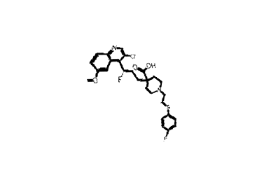 COc1ccc2ncc(Cl)c([C@@H](F)CCC3(C(=O)O)CCN(CCSc4ccc(F)cc4)CC3)c2c1